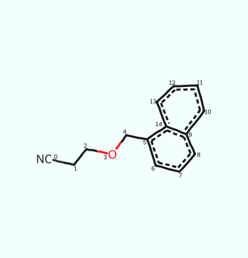 N#CCCOCc1cccc2ccccc12